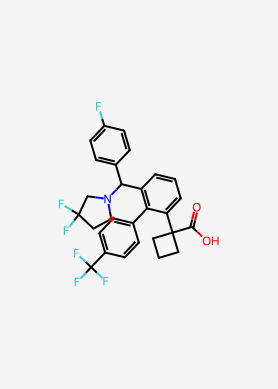 O=C(O)C1(c2cccc(C(c3ccc(F)cc3)N3CCC(F)(F)C3)c2-c2ccc(C(F)(F)F)cc2)CCC1